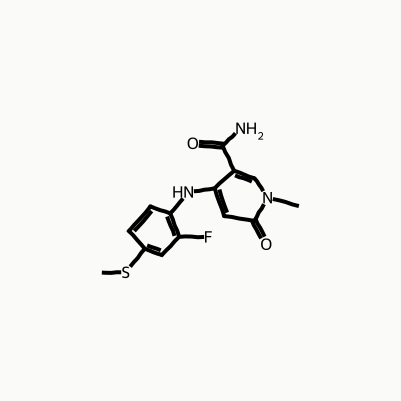 CSc1ccc(Nc2cc(=O)n(C)cc2C(N)=O)c(F)c1